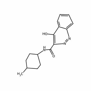 CC1CCC(NC(=O)c2nnc3ccccc3c2O)CC1